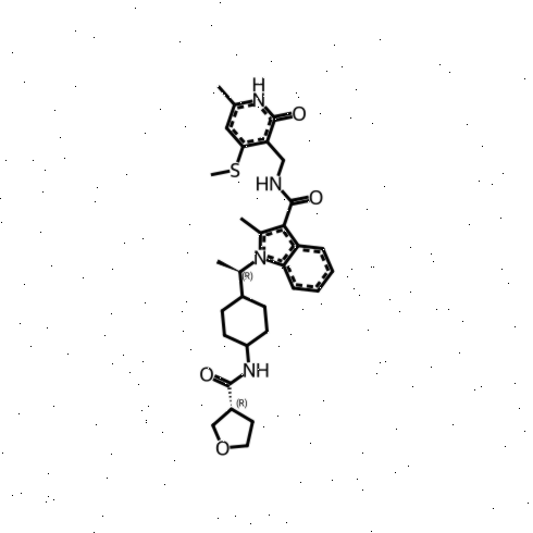 CSc1cc(C)[nH]c(=O)c1CNC(=O)c1c(C)n([C@H](C)C2CCC(NC(=O)[C@@H]3CCOC3)CC2)c2ccccc12